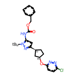 CC(C)(C)n1nc([C@H]2CC[C@@H](Oc3ccc(Cl)nn3)C2)cc1NC(=O)OCc1ccccc1